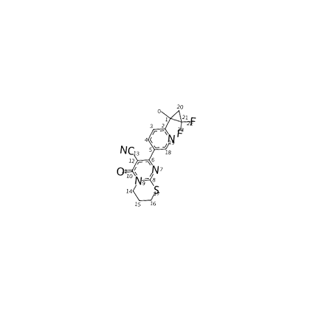 CC1(c2ccc(-c3nc4n(c(=O)c3C#N)CCCS4)cn2)CC1(F)F